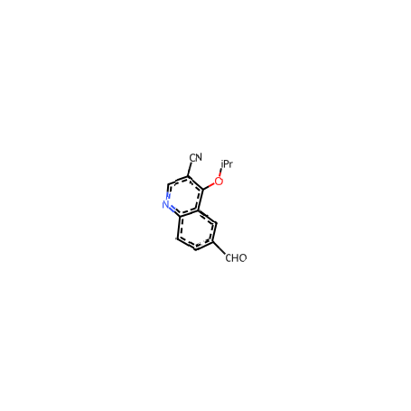 CC(C)Oc1c(C#N)cnc2ccc(C=O)cc12